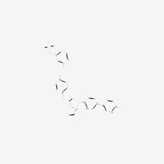 CS(=O)(=O)Nc1cccc(CCc2ccc(CC(=O)NC3(C(=O)O)Cc4ccc(-c5ccc(Cl)cc5)cc4C3)cc2)c1